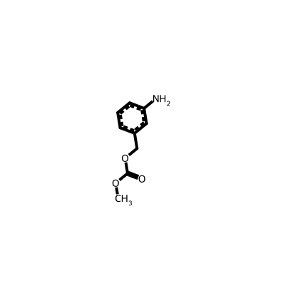 COC(=O)OCc1cccc(N)c1